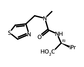 CC(C)[C@H](NC(=O)N(C)Cc1cscn1)C(=O)O